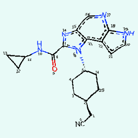 N#CC[C@H]1CC[C@H](n2c(C(=O)NC3CC3)nc3cnc4[nH]ccc4c32)CC1